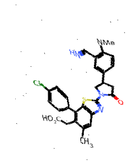 CNc1ccc(C2CC(=O)N(c3nc4cc(C)c(CC(=O)O)c(-c5ccc(Cl)cc5)c4s3)C2)cc1C=N